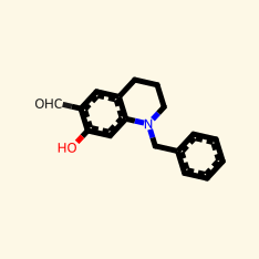 O=Cc1cc2c(cc1O)N(Cc1ccccc1)CCC2